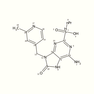 CCC[SH](=O)(O)c1nc(N)c2[nH]c(=O)n(Cc3ccnc(C)c3)c2n1